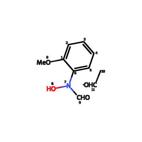 COc1ccccc1N(O)C=O.C[C]=O